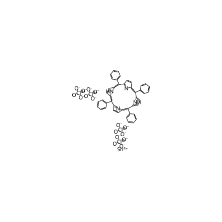 C1=Cc2nc1c(-c1ccccc1)c1ccc([nH]1)c(-c1ccccc1)c1nc(c(-c3ccccc3)c3ccc([nH]3)c2-c2ccccc2)C=C1.[O-][Cl+3]([O-])([O-])[O-].[O-][Cl+3]([O-])([O-])[O-].[O-][Cl+3]([O-])([O-])[O-].[O-][Cl+3]([O-])([O-])[O-].[Sn+4]